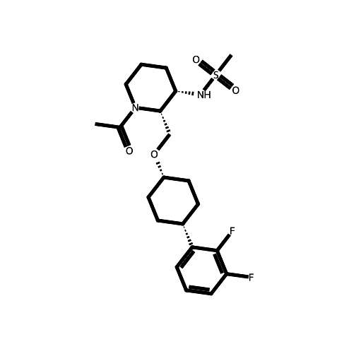 CC(=O)N1CCC[C@H](NS(C)(=O)=O)[C@@H]1CO[C@H]1CC[C@@H](c2cccc(F)c2F)CC1